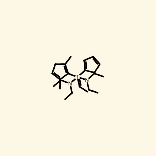 C[CH]=[Ti]([C]1=CC=CC1)([C]1=C(C)CC=C1C)([N](CC)CC)[N](CC)CC